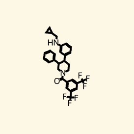 O=C(c1cc(C(F)(F)F)cc(C(F)(F)F)c1)N1CCC(c2cccc(NCC3CC3)c2)C(c2ccccc2)C1